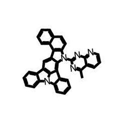 Cc1nc(-n2c3ccc4ccccc4c3c3cc4c5ccccc5n5c6ccccc6c(c32)c45)nc2ncccc12